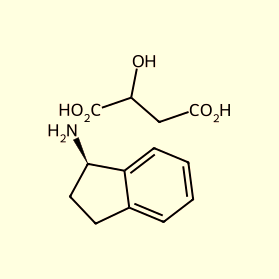 N[C@@H]1CCc2ccccc21.O=C(O)CC(O)C(=O)O